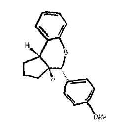 COc1ccc([C@H]2Oc3ccccc3[C@H]3CCC[C@H]32)cc1